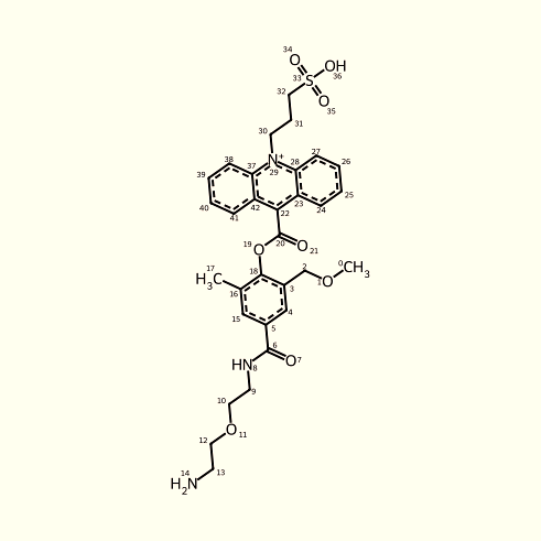 COCc1cc(C(=O)NCCOCCN)cc(C)c1OC(=O)c1c2ccccc2[n+](CCCS(=O)(=O)O)c2ccccc12